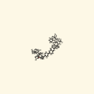 COC(=O)NC(C(=O)N1CC2(CC2)CC1c1ncc(-c2ccc3cc(-c4ccc(-c5cnc(C6C7CCC(C7)N6C(=O)C(NC(=O)OC)C(C)C)[nH]5)cc4)ccc3c2)[nH]1)c1ccccc1